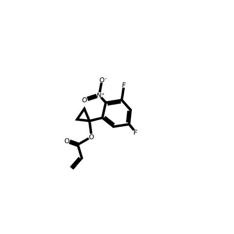 C=CC(=O)OC1(c2cc(F)cc(F)c2[N+](=O)[O-])CC1